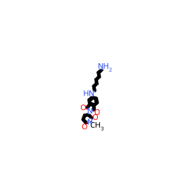 CN1C(=O)CCC(N2C(=O)c3ccc(NCCCCCCCN)cc3C2=O)C1=O